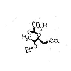 CCCCCCCCCC(OC(=O)C(=O)O)C(C)OCC